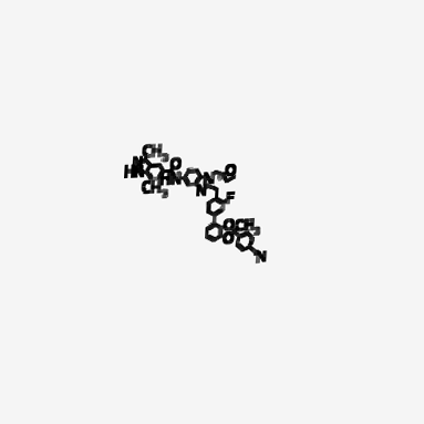 Cc1n[nH]c2c(C)cc(C(=O)Nc3ccc4c(c3)nc(Cc3ccc(-c5cccc6c5OC(C)(c5ccc(C#N)cc5F)O6)cc3F)n4C[C@@H]3CCO3)cc12